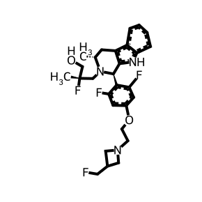 C[C@@H]1Cc2c([nH]c3ccccc23)[C@@H](c2c(F)cc(OCCN3CC(CF)C3)cc2F)N1C[C@](C)(F)CO